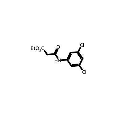 CCOC(=O)CC(=O)Nc1cc(Cl)cc(Cl)c1